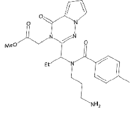 CCC(c1nn2cccc2c(=O)n1CC(=O)OC)N(CCCN)C(=O)c1ccc(C)cc1